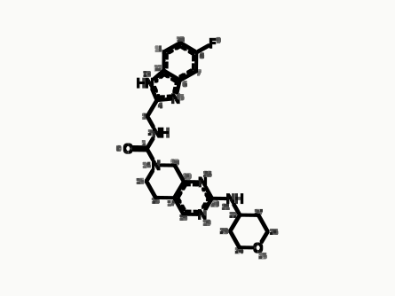 O=C(NCc1nc2cc(F)ccc2[nH]1)N1CCc2cnc(NC3CCOCC3)nc2C1